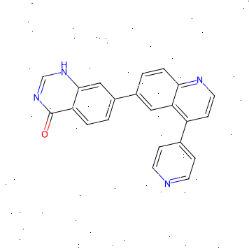 O=c1nc[nH]c2cc(-c3ccc4nccc(-c5ccncc5)c4c3)ccc12